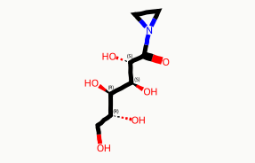 O=C([C@@H](O)[C@@H](O)[C@H](O)[C@H](O)CO)N1CC1